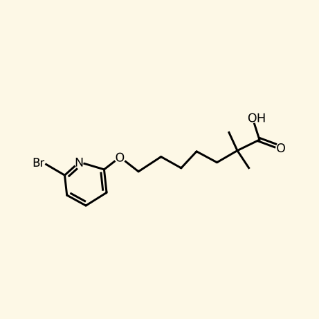 CC(C)(CCCCCOc1cccc(Br)n1)C(=O)O